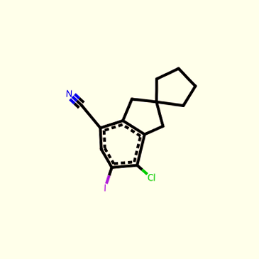 N#Cc1cc(I)c(Cl)c2c1CC1(CCCC1)C2